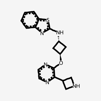 c1ccc2sc(N[C@H]3C[C@H](Oc4nccnc4C4CNC4)C3)nc2c1